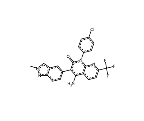 Cn1cc2cc(-c3c(N)c4ccc(C(F)(F)F)nc4n(-c4ccc(Cl)cc4)c3=O)ccc2n1